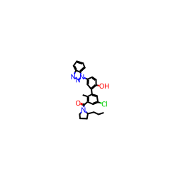 CCCC1CCCN1C(=O)c1cc(Cl)cc(-c2cc(-n3nnc4ccccc43)ccc2O)c1C